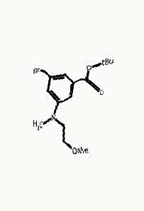 COCCN(C)c1cc(Br)cc(C(=O)OC(C)(C)C)c1